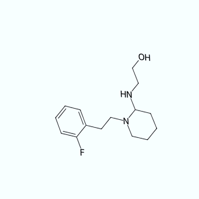 OCCNC1CCCCN1CCc1ccccc1F